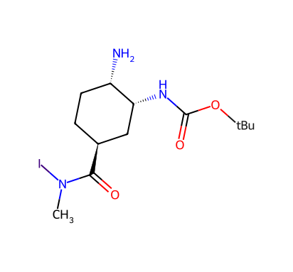 CN(I)C(=O)[C@H]1CC[C@H](N)[C@H](NC(=O)OC(C)(C)C)C1